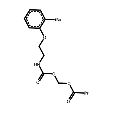 CC(C)C(=O)OCOC(=O)NCCOc1ccccc1C(C)(C)C